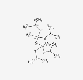 CC(C)C[Si](C)(CC(C)C)O[Si](C)(CC(C)C)CC(C)C